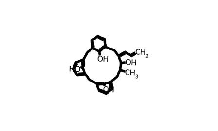 C=C/C=C1/Cc2cccc(c2O)Cc2cccc(c2O)Cc2cccc(c2O)CC(C)C1O